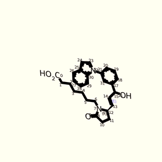 O=C(O)CCCCCCN1C(=O)CC[C@@H]1/C=C/C(O)c1cccc(-n2ccc3ccccc32)c1